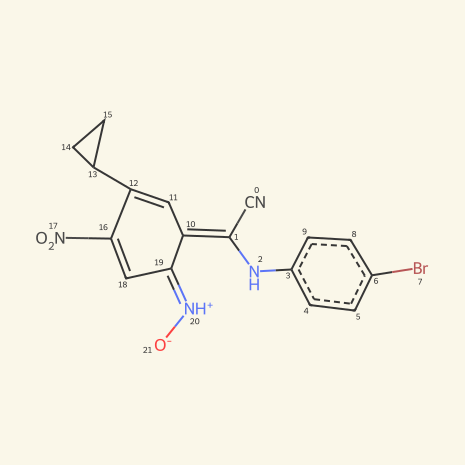 N#C/C(Nc1ccc(Br)cc1)=C1\C=C(C2CC2)C([N+](=O)[O-])=C\C1=[NH+]/[O-]